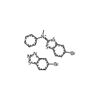 Brc1ccc2snnc2c1.C/[N+](c1ccccc1)=c1/sc2ccc(Br)cc2s1